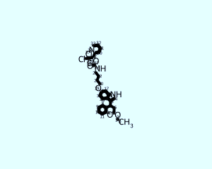 CCOC(=O)CC(c1ccccc1)c1c[nH]c2cc(OCCCCNC(=O)OC(c3ccccn3)C(Cl)(Cl)Cl)ccc12